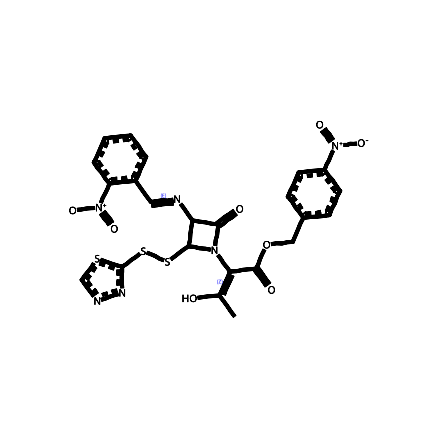 C/C(O)=C(\C(=O)OCc1ccc([N+](=O)[O-])cc1)N1C(=O)C(/N=C/c2ccccc2[N+](=O)[O-])C1SSc1nncs1